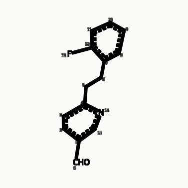 O=Cc1ccc(CCc2ccccc2F)nc1